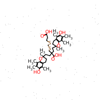 Cc1c(C)c2c(c(C)c1O)CCC(C)(CCC(CCC1(C)CCc3c(C)c(O)c(C)c(C)c3O1)(CSCSCCC(=O)O)C(=O)O)O2